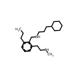 CBCCc1cccc(CCC)c1CNCCCC1CCCCC1